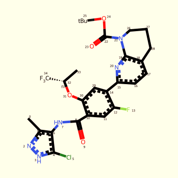 Cc1n[nH]c(Cl)c1NC(=O)c1cc(F)c(-c2ccc3c(n2)N(C(=O)OC(C)(C)C)CCC3)cc1O[C@@H](C)C(F)(F)F